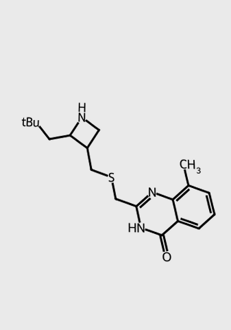 Cc1cccc2c(=O)[nH]c(CSCC3CNC3CC(C)(C)C)nc12